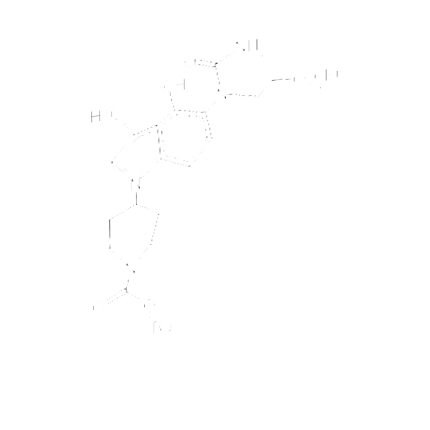 CCOC(=O)CCN(C(N)=O)c1ccc2c(c(C)cn2C2CCN(C(=O)OC(C)(C)C)CC2)c1C